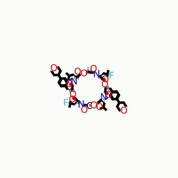 CC(C)C[C@H]1C(=O)O[C@H](C)C(=O)N(C)[C@@H](CC(C)(C)F)C(=O)O[C@H](Cc2ccc(C3CCOCC3)cc2)C(=O)N(C)[C@@H](CC(C)C)C(=O)OCC(=O)N(C)[C@@H](CC(C)(C)F)C(=O)O[C@H](Cc2ccc(C3CCOCC3)cc2)C(=O)N1C